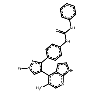 CCn1cc(-c2c(C)cnc3[nH]ccc23)c(-c2ccc(NC(=O)Nc3ccccc3)cc2)n1